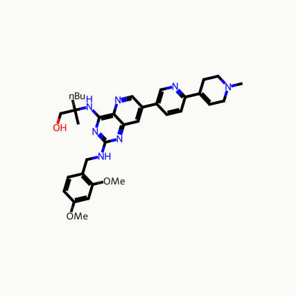 CCCCC(C)(CO)Nc1nc(NCc2ccc(OC)cc2OC)nc2cc(-c3ccc(C4=CCN(C)CC4)nc3)cnc12